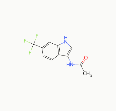 CC(=O)Nc1c[nH]c2cc(C(F)(F)F)ccc12